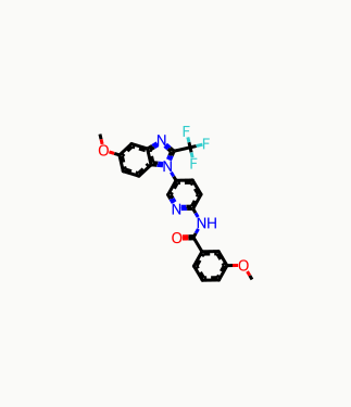 COc1cccc(C(=O)Nc2ccc(-n3c(C(F)(F)F)nc4cc(OC)ccc43)cn2)c1